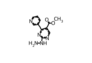 COC(=O)c1cnc(NN)nc1-c1cccnc1